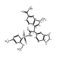 COc1cc(C)ccc1S(=O)(=O)NC(=O)C(c1ccc2c(c1)OCO2)c1cn(C)c2cc(C(=O)O)ccc12